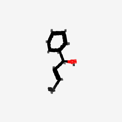 CC(C)(C)/C=C/[C@H](O)c1ccccc1